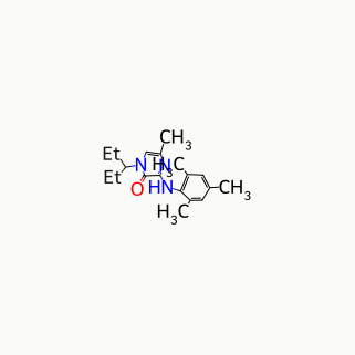 CCC(CC)n1cc(C)nc(Nc2c(C)cc(C)cc2C)c1=O